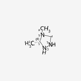 C[C@H]1NNCN1C